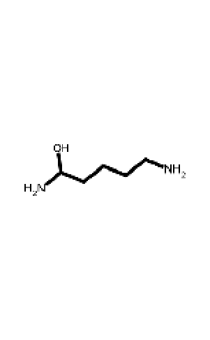 NCCCCC(N)O